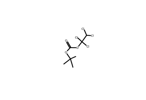 CC(C)(C)OC(=O)OC(Cl)(Cl)C(Cl)Cl